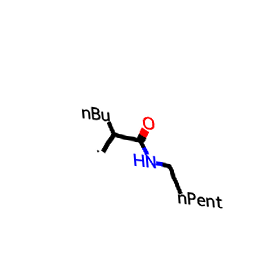 [CH2]C(CCCC)C(=O)NCCCCCC